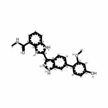 CNC(=O)c1cccc2[nH]c(-c3n[nH]c4cc(-c5ccc(O)cc5OC)ccc34)nc12